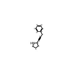 C(#CC1CCCN1)Cc1ccccc1